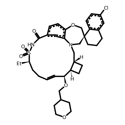 CC[C@@H]1CC/C=C/[C@H](OCC2CCOCC2)[C@@H]2CC[C@H]2CN2C[C@@]3(CCCc4cc(Cl)ccc43)COc3ccc(cc32)C(=O)NS1(=O)=O